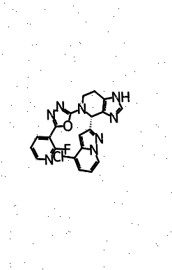 Fc1ncccc1-c1nnc(N2CCc3[nH]cnc3[C@@H]2c2cc3c(Cl)cccn3n2)o1